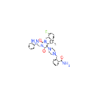 Cc1c(N2CCN(Cc3ccccc3C(N)=O)CC2)c(=O)n(C[C@H](N)c2ccccc2)c(=O)n1Cc1c(F)cccc1C(F)(F)F